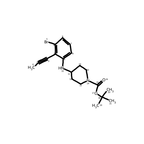 CC#Cc1c(Br)cccc1NC1CCN(C(=O)OC(C)(C)C)CC1